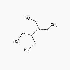 CCN(CO)C(CO)CO